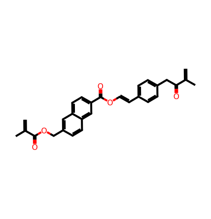 C=C(C)C(=O)Cc1ccc(/C=C/OC(=O)c2ccc3cc(COC(=O)C(=C)C)ccc3c2)cc1